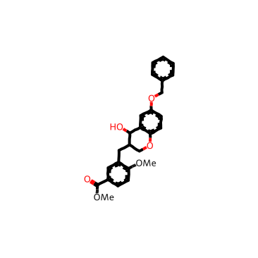 COC(=O)c1ccc(OC)c(CC2COc3ccc(OCc4ccccc4)cc3C2O)c1